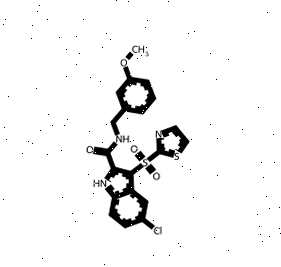 COc1cccc(CNC(=O)c2[nH]c3ccc(Cl)cc3c2S(=O)(=O)c2nccs2)c1